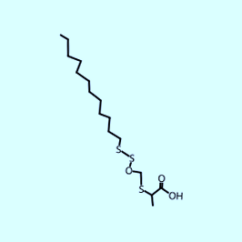 CCCCCCCCCCCCSSOCSC(C)C(=O)O